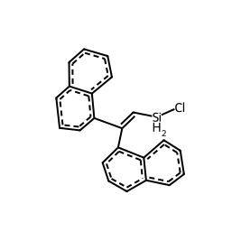 Cl[SiH2]C=C(c1cccc2ccccc12)c1cccc2ccccc12